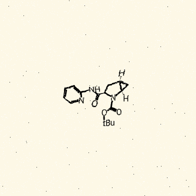 CC(C)(C)OC(=O)N1[C@@H](C(=O)Nc2ccccn2)C[C@H]2C[C@H]21